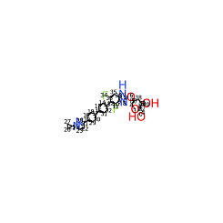 OC[C@H]1OC[C@H](Oc2nc3c(F)c(-c4ccc(-c5ccc(-c6ccn(C7CC7)n6)cc5)cc4)c(F)cc3[nH]2)C[C@@H]1O